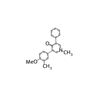 COc1ccc(-c2cn(C)cc(-c3ccccc3)c2=O)cc1C